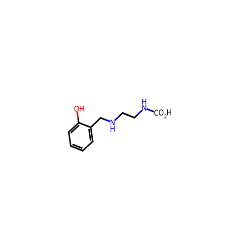 O=C(O)NCCNCc1ccccc1O